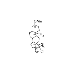 CO[C@H]1CC[C@@]2(C)C(=CCC3C2CC[C@@]2(C)C3CC[C@@]2(C(C)=O)C(Cl)Cl)C1